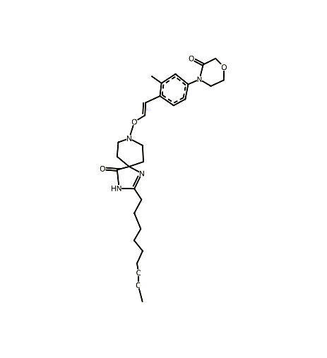 CCCCCCCCCC1=NC2(CCN(O/C=C/c3ccc(N4CCOCC4=O)cc3C)CC2)C(=O)N1